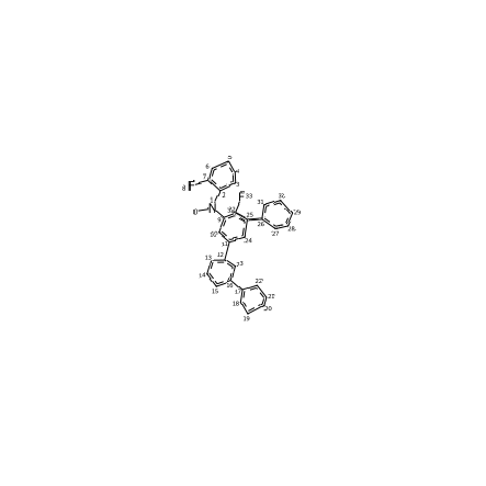 CN(c1ccccc1F)c1cc(-c2cccc(-c3ccccc3)c2)cc(-c2ccccc2)c1F